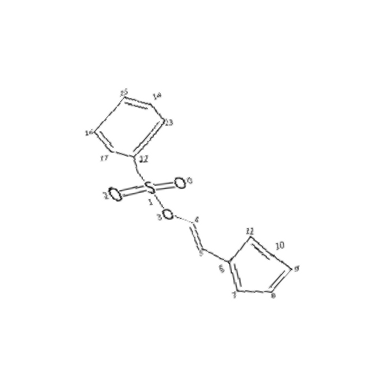 O=S(=O)(OC=Cc1ccccc1)c1ccccc1